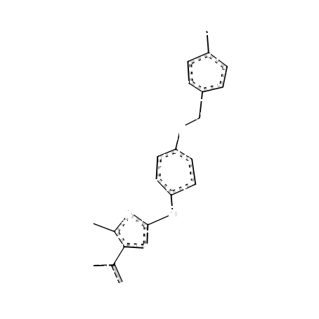 CC(=O)c1sc(Nc2ccc(OCc3ccc(C)cc3)cc2)nc1C